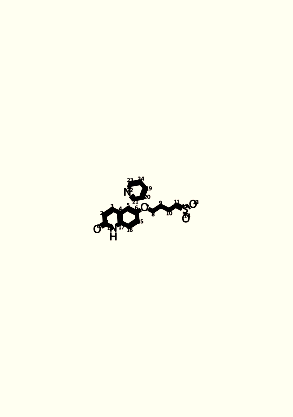 O=c1ccc2cc(OCCCC=S(=O)=O)ccc2[nH]1.c1ccncc1